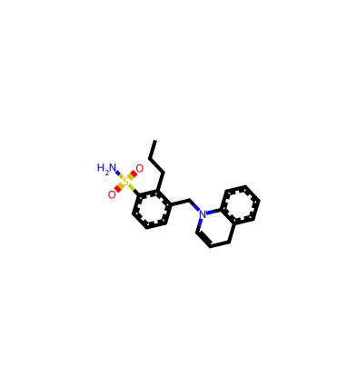 CCCc1c(CN2C=CCc3ccccc32)cccc1S(N)(=O)=O